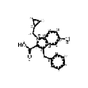 O=C(O)c1c(Cc2ccccc2)c2cc(Cl)ccc2n1CC1CC1